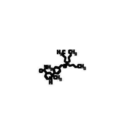 CCCC[Si](CCCC)(CCCC)OCc1ccc(C2(C)C=C(C(N)=O)C=CN2)cc1